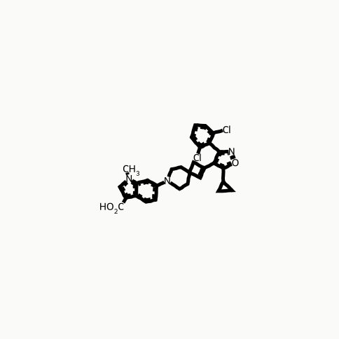 Cn1cc(C(=O)O)c2ccc(N3CCC4(C=C(c5c(-c6c(Cl)cccc6Cl)noc5C5CC5)C4)CC3)cc21